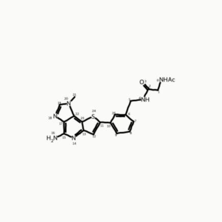 CC(=O)NCC(=O)NCc1cccc(-c2cc3nc(N)c4ncn(C)c4c3s2)c1